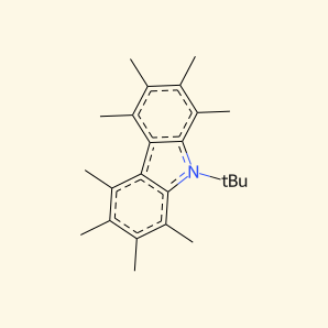 Cc1c(C)c(C)c2c(c1C)c1c(C)c(C)c(C)c(C)c1n2C(C)(C)C